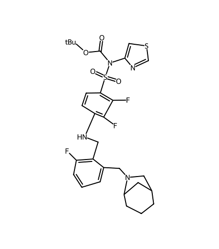 CC(C)(C)OC(=O)N(c1cscn1)S(=O)(=O)c1ccc(NCc2c(F)cccc2CN2CC3CCCC2C3)c(F)c1F